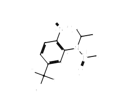 CC(C)N(c1cc(C(F)(F)F)ccc1[N+](=O)[O-])[PH](C)=O